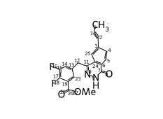 CC#Cc1ccc2c(=O)[nH]nc(Cc3cc(F)c(F)c(C(=O)OC)c3)c2c1